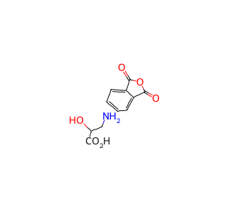 NCC(O)C(=O)O.O=C1OC(=O)c2ccccc21